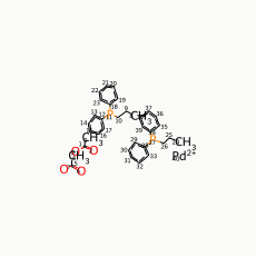 CC(=O)[O-].CC(=O)[O-].CCCP(c1ccccc1)c1ccccc1.CCCP(c1ccccc1)c1ccccc1.[Pd+2]